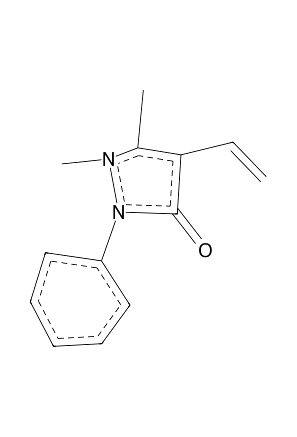 C=Cc1c(C)n(C)n(-c2ccccc2)c1=O